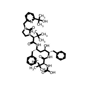 CC(C)(O)c1cccc(CN2CCN([C@H](C(=O)N[C@@H](Cc3ccccc3)C[C@@H](O)[C@H](Cc3ccccc3)NC(=O)[C@@H](NC(=O)O)C(C)(C)C)C(C)(C)C)C2=O)n1